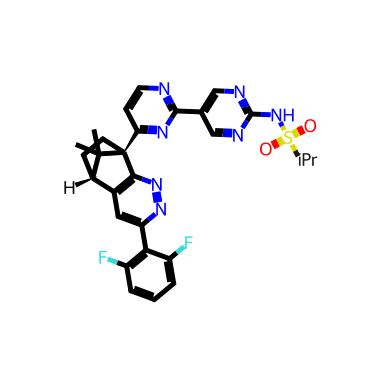 CC(C)S(=O)(=O)Nc1ncc(-c2nccc([C@@]34CC[C@@H](c5cc(-c6c(F)cccc6F)nnc53)C4(C)C)n2)cn1